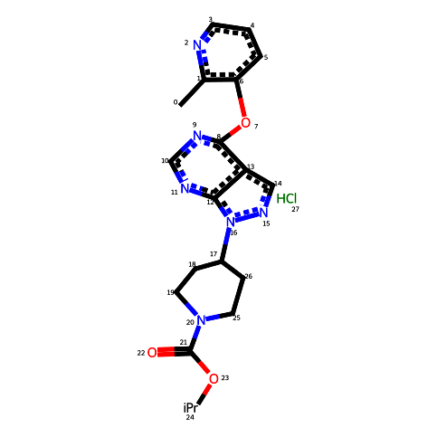 Cc1ncccc1Oc1ncnc2c1cnn2C1CCN(C(=O)OC(C)C)CC1.Cl